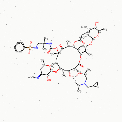 CON=C1C[C@@H](C)O[C@@H](O[C@@H]2[C@@H](C)[C@H](O[C@H]3CC(C)N(CC4CC4)C[C@H](C)O3)[C@@H](C)C(=O)O[C@H](C(C)CO[C@@H]3O[C@H](C)[C@@H](O)[C@@H](OC)[C@H]3OC)[C@H](C)[C@@H](OC(=O)CC(C)C)[C@@H](C)C(=O)[C@@](C)(OC(=O)NC(C)(C)CNS(=O)(=O)c3ccccc3)C[C@@H]2C)[C@@H]1O